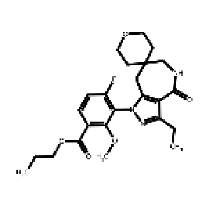 CCCOC(=O)c1ccc(F)c(-n2nc(CC)c3c2CC2(CCOCC2)CNC3=O)c1OC